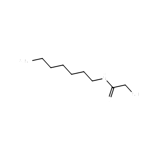 CC(=O)NCCCCCCNC(=O)CN